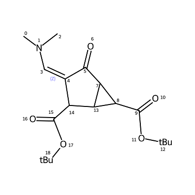 CN(C)/C=C1\C(=O)C2C(C(=O)OC(C)(C)C)C2C1C(=O)OC(C)(C)C